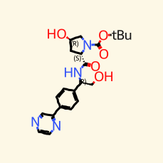 CC(C)(C)OC(=O)N1C[C@H](O)C[C@H]1C(=O)N[C@@H](CO)c1ccc(-c2cnccn2)cc1